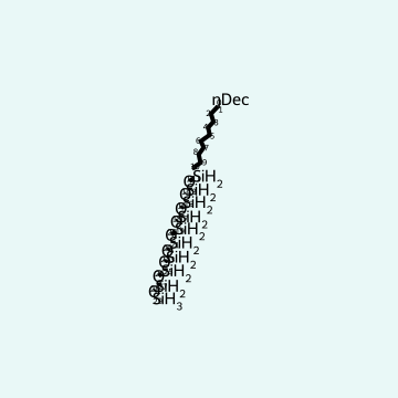 CCCCCCCCCCCCCCCCCCCC[SiH2]O[SiH2]O[SiH2]O[SiH2]O[SiH2]O[SiH2]O[SiH2]O[SiH2]O[SiH2]O[SiH3]